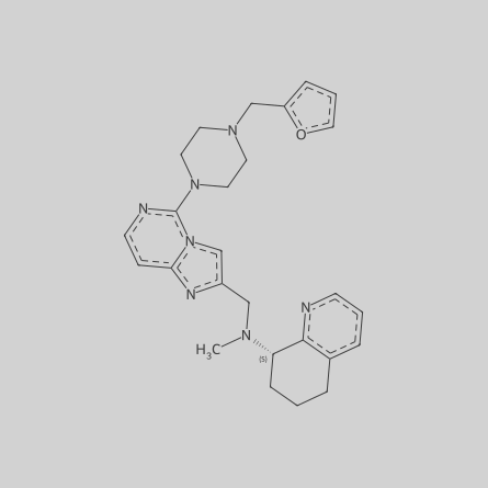 CN(Cc1cn2c(N3CCN(Cc4ccco4)CC3)nccc2n1)[C@H]1CCCc2cccnc21